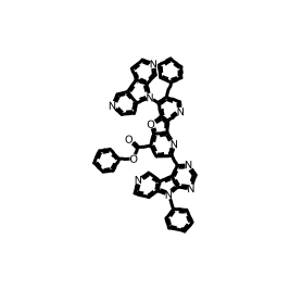 O=C(Oc1ccccc1)c1cc(-c2ncnc3c2c2cnccc2n3-c2ccccc2)nc2c1oc1c(-n3c4ccncc4c4ccncc43)c(-c3ccccc3)cnc12